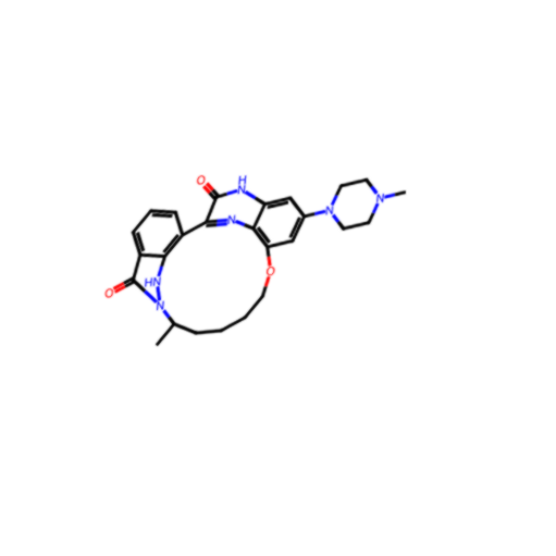 CC1CCCCOc2cc(N3CCN(C)CC3)cc3[nH]c(=O)c(nc23)-c2cccc3c(=O)n1[nH]c23